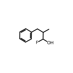 CC(Cc1ccccc1)C(O)F